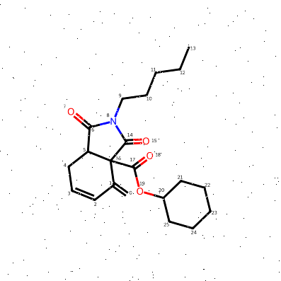 C=C1C=CCC2C(=O)N(CCCCC)C(=O)C12C(=O)OC1CCCCC1